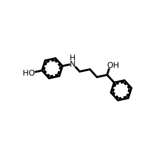 Oc1ccc(NCCCC(O)c2ccccc2)cc1